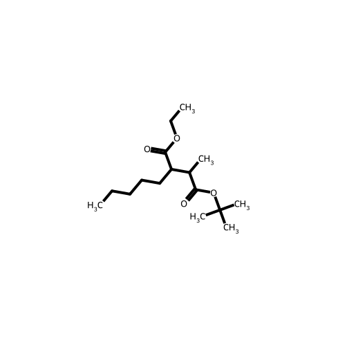 CCCCCC(C(=O)OCC)C(C)C(=O)OC(C)(C)C